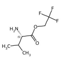 CC(C)[C@H](N)C(=O)OCC(F)(F)F